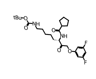 CC(C)(C)OC(=O)NCCCCC[C@H](NC(=O)C1CCCC1)C(=O)COc1cc(F)cc(F)c1